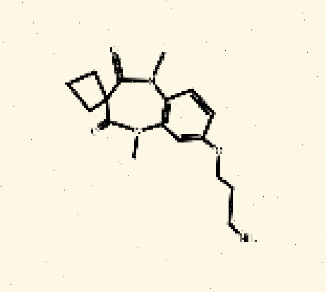 CN1C(=O)C2(CCC2)C(=O)N(C)c2cc(OCCCN)ccc21